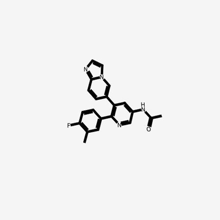 CC(=O)Nc1cnc(-c2ccc(F)c(C)c2)c(-c2ccc3nccn3c2)c1